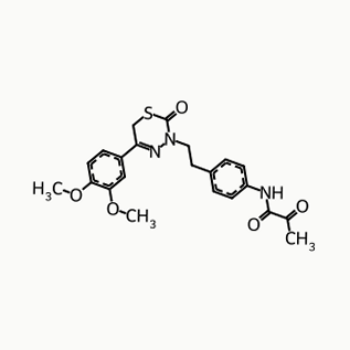 COc1ccc(C2=NN(CCc3ccc(NC(=O)C(C)=O)cc3)C(=O)SC2)cc1OC